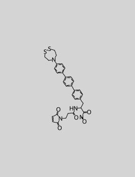 O=NC(=O)C(Cc1ccc(-c2ccc(-c3ccc(N4CCSSCC4)cc3)cc2)cc1)NC(=O)CCN1C(=O)C=CC1=O